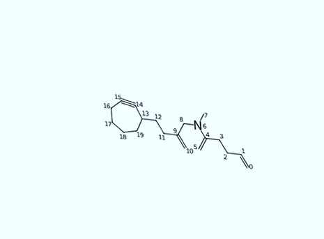 C=CCCC(=C)N(C)CC(=C)CCC1C#CCCCC1